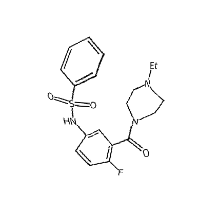 CCN1CCN(C(=O)c2cc(NS(=O)(=O)c3ccccc3)ccc2F)CC1